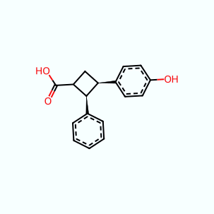 O=C(O)C1C[C@@H](c2ccc(O)cc2)[C@H]1c1ccccc1